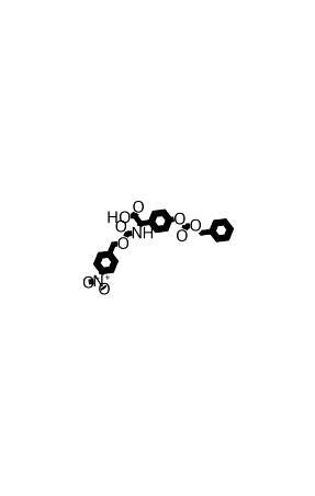 O=C(NC(C(=O)O)c1ccc(OC(=O)OCc2ccccc2)cc1)OCc1ccc([N+](=O)[O-])cc1